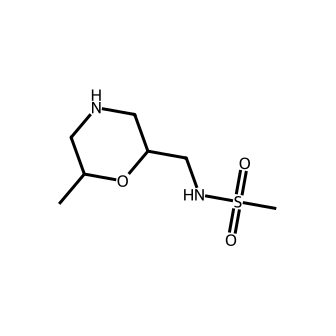 CC1CNCC(CNS(C)(=O)=O)O1